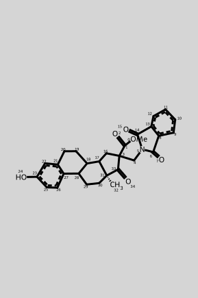 COC(=O)C1(CN2C(=O)c3ccccc3C2=O)CC2C3CCc4cc(O)ccc4C3CC[C@]2(C)C1=O